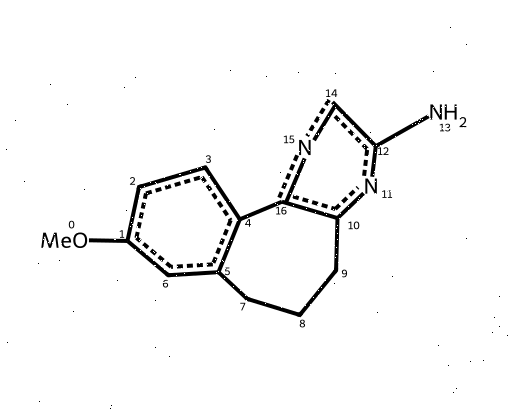 COc1ccc2c(c1)CCCc1nc(N)cnc1-2